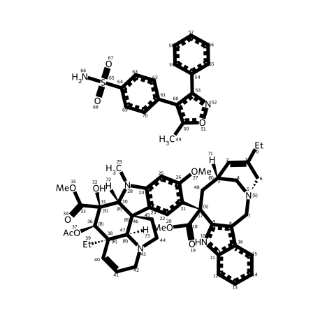 CCC1=C[C@@H]2C[N@](C1)Cc1c([nH]c3ccccc13)[C@@](C(=O)OC)(c1cc3c(cc1OC)N(C)[C@H]1[C@@](O)(C(=O)OC)[C@H](OC(C)=O)[C@]4(CC)C=CCN5CC[C@]31[C@@H]54)C2.Cc1onc(-c2ccccc2)c1-c1ccc(S(N)(=O)=O)cc1